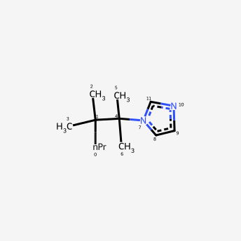 CCCC(C)(C)C(C)(C)n1ccnc1